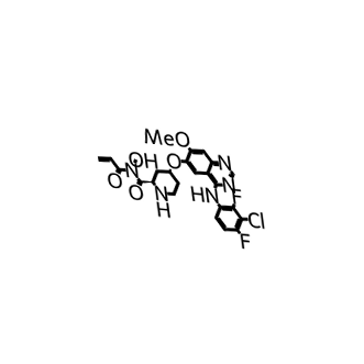 C=CC(=O)N(O)C(=O)[C@H]1C[C@H](Oc2cc3c(Nc4ccc(F)c(Cl)c4F)ncnc3cc2OC)CCN1